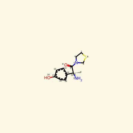 C[C@@](N)(C(=O)N1CCSC1)c1ccc(O)cc1